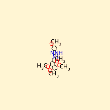 COc1ccc2[nH]c(NCc3cc(OC)c4c(OC)ccc(OC)c4c3OC)nc2c1